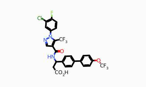 O=C(O)CC(NC(=O)c1cnn(-c2ccc(F)c(Cl)c2)c1C(F)(F)F)c1ccc(-c2ccc(OC(F)(F)F)cc2)cc1